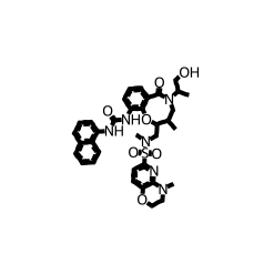 CC1CN(C(C)CO)C(=O)c2cccc(NC(=O)Nc3cccc4ccccc34)c2OC1CN(C)S(=O)(=O)c1ccc2c(n1)N(C)CCO2